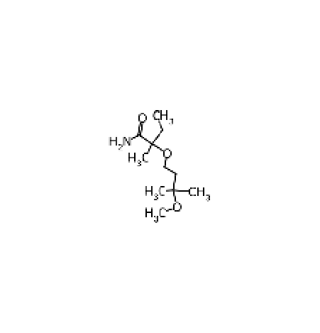 CCC(C)(OCCC(C)(C)OC)C(N)=O